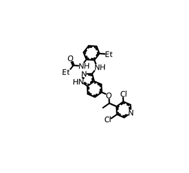 CCC(=O)Nc1cccc(CC)c1Nc1n[nH]c2ccc(OC(C)c3c(Cl)cncc3Cl)cc12